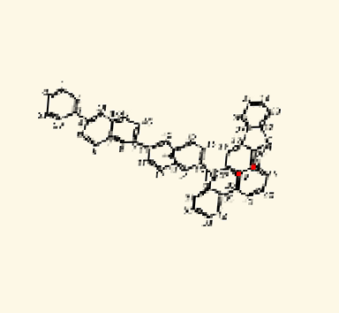 c1ccc(-c2ccc3cc(-c4ccc5cc(N(c6ccc7sc8ccccc8c7c6)c6ccccc6-c6ccccc6)ccc5c4)ccc3c2)cc1